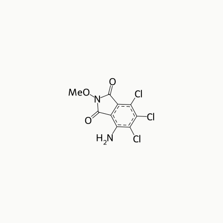 CON1C(=O)c2c(N)c(Cl)c(Cl)c(Cl)c2C1=O